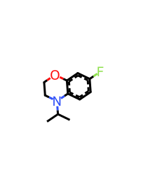 CC(C)N1CCOc2cc(F)ccc21